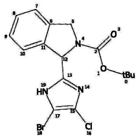 CC(C)(C)OC(=O)N1Cc2ccccc2C1c1nc(Cl)c(Br)[nH]1